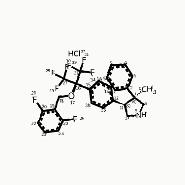 C[C@]1(c2ccccc2)CNC[C@H]1c1ccc(C(OCc2c(F)cccc2F)(C(F)(F)F)C(F)(F)F)cc1.Cl